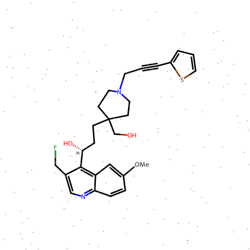 COc1ccc2ncc(CF)c([C@H](O)CCC3(CO)CCN(CC#Cc4cccs4)CC3)c2c1